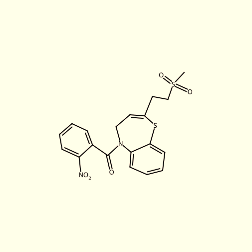 CS(=O)(=O)CCC1=CCN(C(=O)c2ccccc2[N+](=O)[O-])c2ccccc2S1